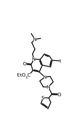 CCOC(=O)c1c(N2CCN(C(=O)C3CC=CS3)CC2)c2cc(I)ccc2n(CCCN(C)C)c1=O